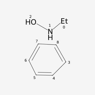 CCNO.c1ccccc1